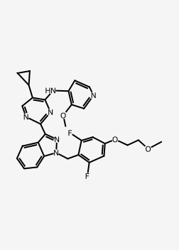 COCCOc1cc(F)c(Cn2nc(-c3ncc(C4CC4)c(Nc4ccncc4OC)n3)c3ccccc32)c(F)c1